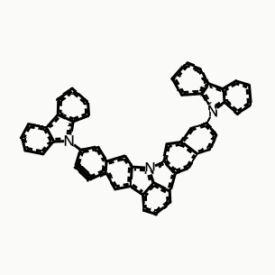 c1c(-n2c3ccccc3c3ccccc32)cc2cc3c(cc2c#1)c1cccc2c4cc5ccc(-n6c7ccccc7c7ccccc76)cc5cc4n3c12